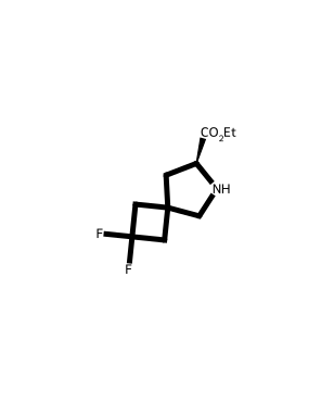 CCOC(=O)[C@@H]1CC2(CN1)CC(F)(F)C2